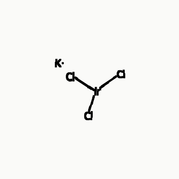 [Cl][Ir]([Cl])[Cl].[K]